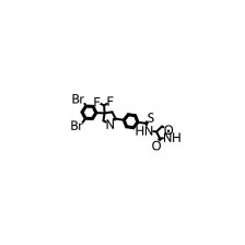 O=C1NOCC1NC(=S)c1ccc(C2=NCC(c3cc(Br)cc(Br)c3)(C(F)F)C2)cc1